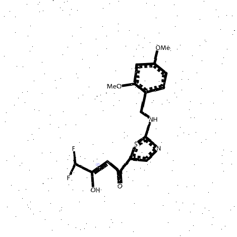 COc1ccc(CNc2ncc(C(=O)/C=C(\O)C(F)F)s2)c(OC)c1